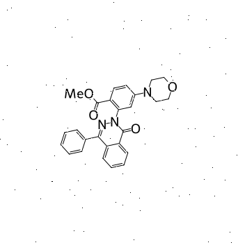 COC(=O)c1ccc(N2CCOCC2)cc1-n1nc(-c2ccccc2)c2ccccc2c1=O